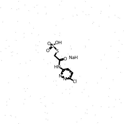 O=C(CSS(=O)(=O)O)Nc1ccc(Cl)nn1.[NaH]